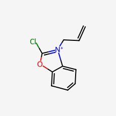 C=CC[n+]1c(Cl)oc2ccccc21